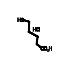 Cl.O=C(O)CCCCS